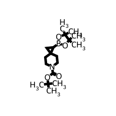 CC(C)(C)OC(=O)N1CCC2(CC1)CC2B1OC(C)(C)C(C)(C)O1